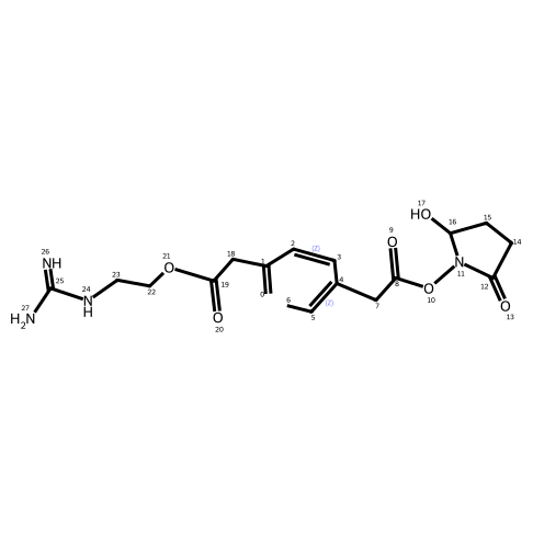 C=C(/C=C\C(=C/C)CC(=O)ON1C(=O)CCC1O)CC(=O)OCCNC(=N)N